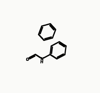 O=CNc1ccccc1.c1ccccc1